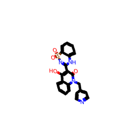 O=c1c(C2=NS(=O)(=O)c3ccccc3N2)c(O)c2ccccc2n1Cc1ccncc1